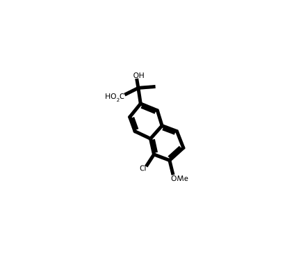 COc1ccc2cc(C(C)(O)C(=O)O)ccc2c1Cl